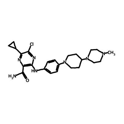 CN1CCN(C2CCN(c3ccc(Nc4nc(Cl)c(C5CC5)nc4C(N)=O)cc3)CC2)CC1